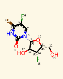 O=c1[nH]c(=S)c(F)cn1[C@@H]1O[C@H](CO)[C@H](F)C1O